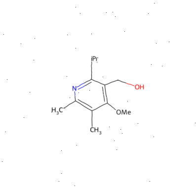 COc1c(C)c(C)nc(C(C)C)c1CO